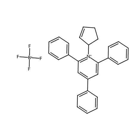 C1=CC([n+]2c(-c3ccccc3)cc(-c3ccccc3)cc2-c2ccccc2)CC1.F[B-](F)(F)F